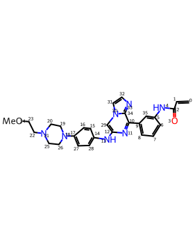 C=CC(=O)Nc1cccc(-c2nc(Nc3ccc(N4CCN(CCOC)CC4)cc3)cn3ccnc23)c1